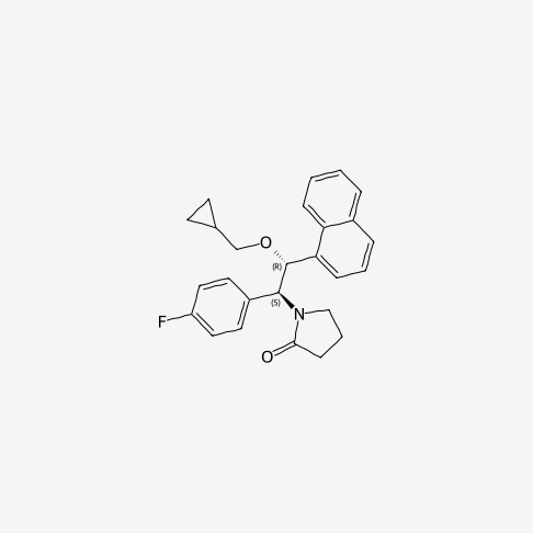 O=C1CCCN1[C@@H](c1ccc(F)cc1)[C@H](OCC1CC1)c1cccc2ccccc12